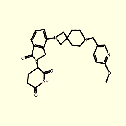 COc1ccc(CN2CCC3(CC2)CN(c2cccc4c2CN(C2CCC(=O)NC2=O)C4=O)C3)cn1